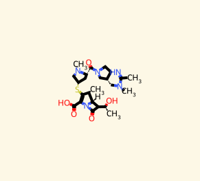 CC(=N)N(C)C[C@H]1CCN(C(=O)[C@@H]2C[C@H](SC3=C(C(=O)O)N4C(=O)C([C@@H](C)O)[C@@H]4[C@H]3C)CN2C)C1